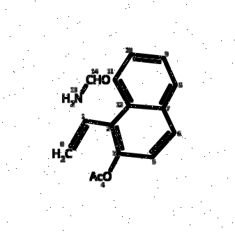 C=Cc1c(OC(C)=O)ccc2ccccc12.NC=O